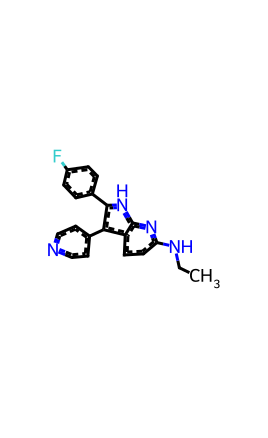 CCNc1ccc2c(-c3ccncc3)c(-c3ccc(F)cc3)[nH]c2n1